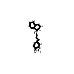 Cc1ccc(CCCOc2cccc3ccccc23)cc1